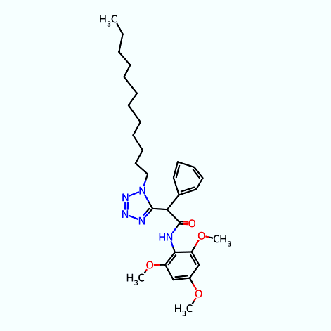 CCCCCCCCCCCCn1nnnc1C(C(=O)Nc1c(OC)cc(OC)cc1OC)c1ccccc1